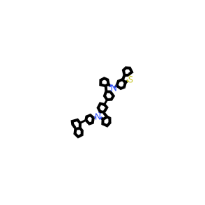 c1ccc2c(-c3ccc(-n4c5ccccc5c5cc(-c6ccc7c(c6)c6ccccc6n7-c6ccc7sc8ccccc8c7c6)ccc54)cc3)cccc2c1